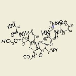 CC(C)CC(C(=O)NC(Cc1ccccc1CC(NC(=O)CC(C)(C)C)C(=O)O)C(=O)O)c1ccc(N/C(=C/[N+](=O)[O-])Nc2ccccc2)cc1